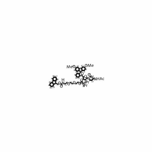 COc1ccc(C(OCC2OC(n3ccc(NC(C)=O)nc3=O)CC2OP(OCCOCCOCCNC(=O)OCC2c3ccccc3-c3ccccc32)N(C(C)C)C(C)C)(c2ccccc2)c2ccc(OC)cc2)cc1